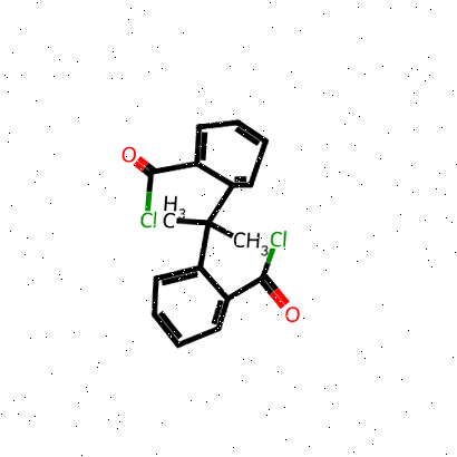 CC(C)(c1ccccc1C(=O)Cl)c1ccccc1C(=O)Cl